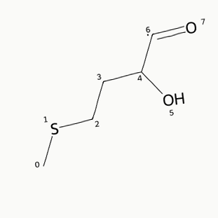 CSCCC(O)[C]=O